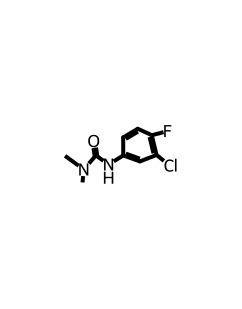 CN(C)C(=O)Nc1ccc(F)c(Cl)c1